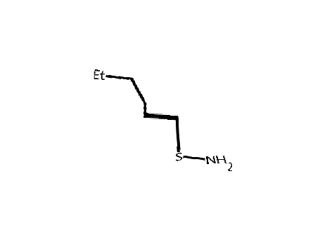 [CH2]CCCCSN